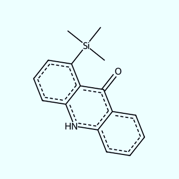 C[Si](C)(C)c1cccc2[nH]c3ccccc3c(=O)c12